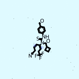 N#CC/C=C\C(=C/CC(F)(F)F)N(C(=O)C1CCC1)C(=S)Nc1ccc(C=O)cc1